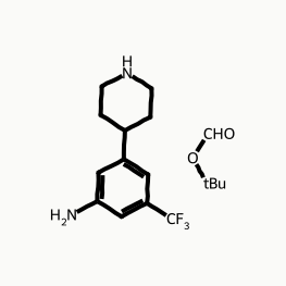 CC(C)(C)OC=O.Nc1cc(C2CCNCC2)cc(C(F)(F)F)c1